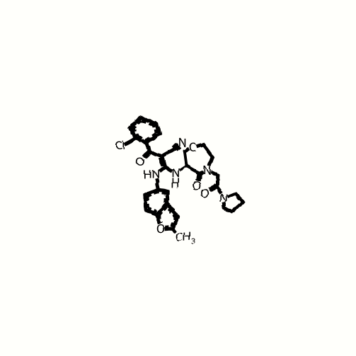 Cc1cc2cc(NC(N[C@H]3CCCCN(CC(=O)N4CCCC4)C3=O)=C(C#N)C(=O)c3ccccc3Cl)ccc2o1